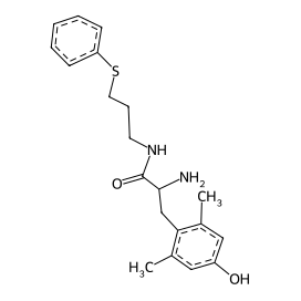 Cc1cc(O)cc(C)c1CC(N)C(=O)NCCCSc1ccccc1